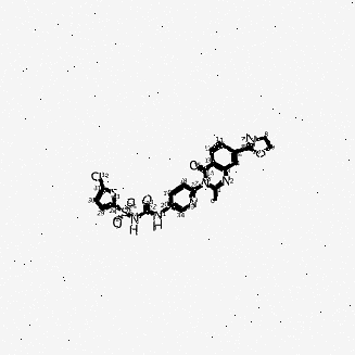 Cc1nc2cc(C3=NCCO3)ccc2c(=O)n1-c1ccc(NC(=O)NS(=O)(=O)c2ccc(Cl)s2)cn1